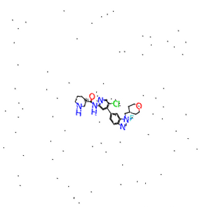 O=C(Nc1cc(-c2ccc3c(c2)[N+](F)(CC2CCOCC2)C=N3)c(Cl)cn1)[C@@H]1CCCNC1